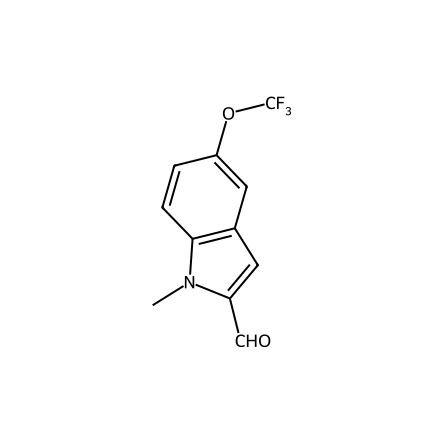 Cn1c(C=O)cc2cc(OC(F)(F)F)ccc21